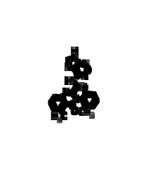 CCC(Nc1ncnc2[nH]cnc12)c1nc2cccc(C)c2c(=O)n1-c1c(C)cccc1F